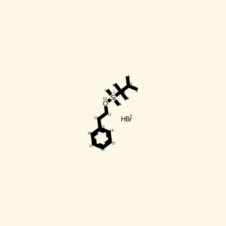 Br.CC(C)C(C)(C)[Si](C)(C)OCCc1ccccc1